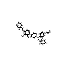 O=c1c(Cl)c(NC[C@@]2(F)CCCOC2)cnn1[C@H]1CC[C@@H](N(C[C@@H]2COCCO2)c2ccc(OCF)cc2)CC1